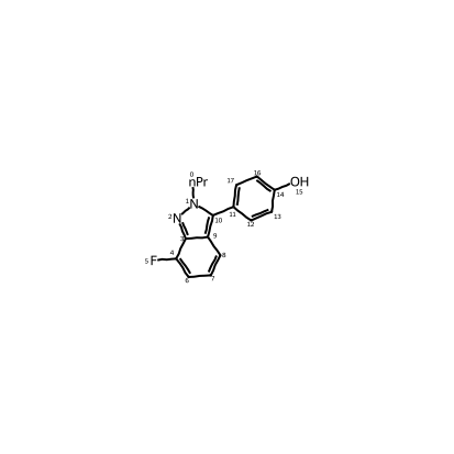 CCCn1nc2c(F)cccc2c1-c1ccc(O)cc1